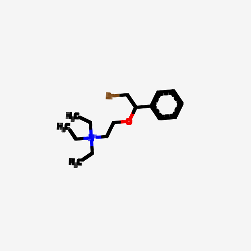 CC[N+](CC)(CC)CCOC(CBr)c1ccccc1